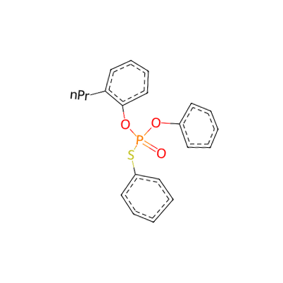 CCCc1ccccc1OP(=O)(Oc1ccccc1)Sc1ccccc1